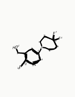 OCc1cc(N2CCC(F)(F)CC2)ccc1F